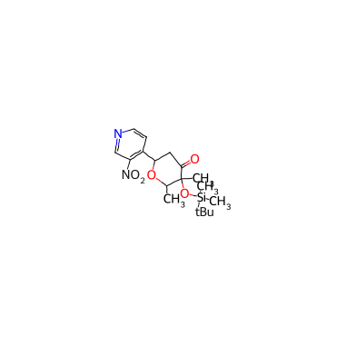 CC1OC(c2ccncc2[N+](=O)[O-])CC(=O)C1(C)O[Si](C)(C)C(C)(C)C